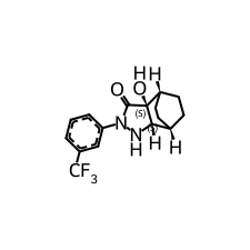 O=C1N(c2cccc(C(F)(F)F)c2)N[C@H]2[C@H]3CC[C@H](CC3)[C@@]12O